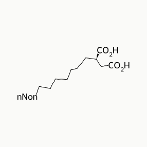 CCCCCCCCCCCCCCCC[C@H](CC(=O)O)C(=O)O